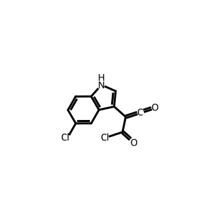 O=C=C(C(=O)Cl)c1c[nH]c2ccc(Cl)cc12